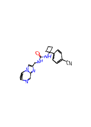 N#Cc1ccc(C2(NC(=O)NCc3cn4ccncc4n3)CCC2)cc1